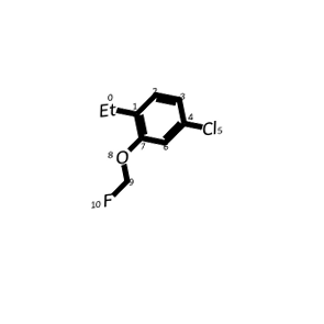 CCc1ccc(Cl)cc1OCF